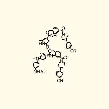 CC(=O)Nc1ccc(Nc2ccc(C(=O)Nc3cc(C(=O)N4CCC(c5ccc(C#N)cc5)CC4)ccc3C)cn2)cc1.Cc1cc(C(=O)Nc2cc(C(=O)N3CCC(c4ccc(C#N)cc4)CC3)ccc2C)cc(=O)[nH]1